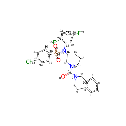 O=C(N1CCc2ccccc2C1)N1CCCC(N(c2cc(F)ccc2F)S(=O)(=O)c2ccc(Cl)cc2)C1